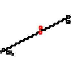 CC(C)CCCCCCCCCCCCCCCOC(=O)CCCCCCCCCCC(C)C